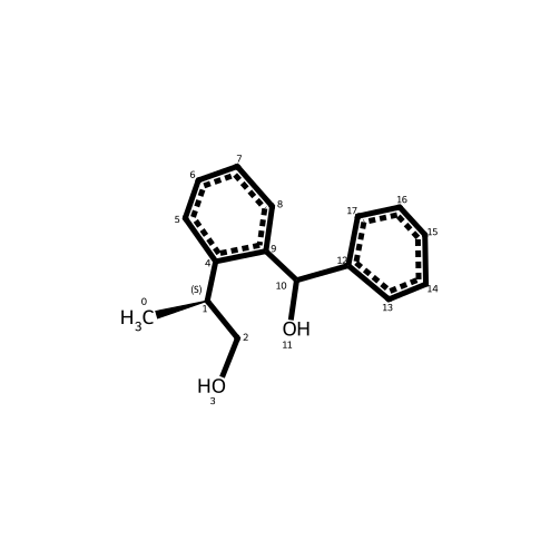 C[C@H](CO)c1ccccc1C(O)c1ccccc1